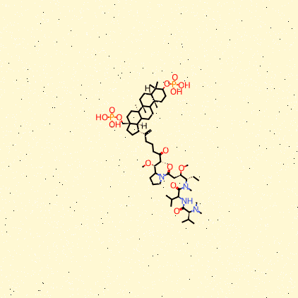 C=C(CCCC(=O)[C@H](C)[C@@H](OC)C1CCCN1C(=O)C[C@@H](OC)[C@H](CC)N(C)C(=O)[C@@H](NC(=O)[C@H](C(C)C)N(C)C)C(C)C)[C@@H]1CC[C@]2(COP(=O)(O)O)CC[C@]3(C)C(CCC4[C@@]5(C)CC[C@H](OP(=O)(O)O)C(C)(C)[C@@H]5CC[C@]43C)[C@@H]12